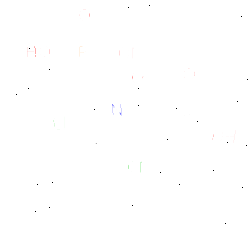 O=C(O)C[N+]([O-])(CP(=O)(O)O)C(Cl)(Cl)c1ccccc1